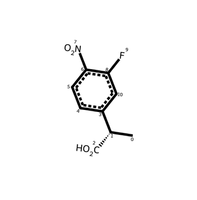 C[C@H](C(=O)O)c1ccc([N+](=O)[O-])c(F)c1